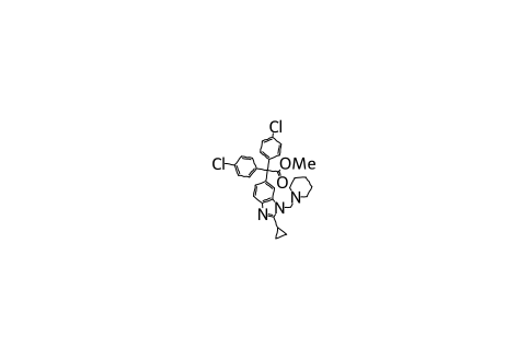 COC(=O)C(c1ccc(Cl)cc1)(c1ccc(Cl)cc1)c1ccc2nc(C3CC3)n(CN3CCCCC3)c2c1